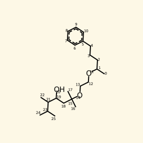 CC(CCCc1ccccc1)OCCOC(C)(C)CC(O)C(C)C(C)C